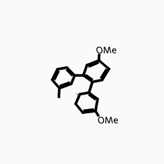 COC1=CC[CH]C(c2ccc(OC)cc2-c2cccc(C)c2)=C1